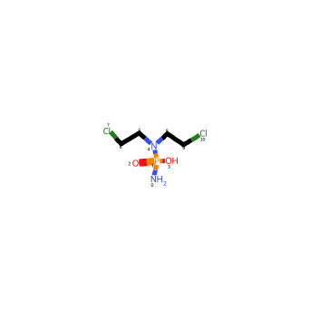 NP(=O)(O)N(CCCl)CCCl